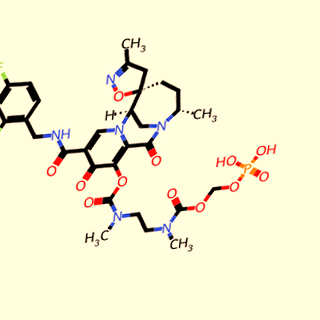 CC1=NO[C@@]2(CC[C@H](C)N3C[C@H]2n2cc(C(=O)NCc4ccc(F)cc4F)c(=O)c(OC(=O)N(C)CCN(C)C(=O)OCOP(=O)(O)O)c2C3=O)C1